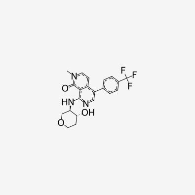 Cn1ccc2c(-c3ccc(C(F)(F)F)cc3)cnc(N[C@@H]3COCC[C@H]3O)c2c1=O